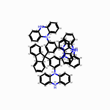 c1ccc2c(c1)Nc1ccccc1N2c1cc(N2c3ccccc3Nc3ccccc32)cc(C2(c3cc(N4c5ccccc5Nc5ccccc54)cc(N4c5ccccc5Nc5ccccc54)c3)c3ccccc3-c3ccccc32)c1